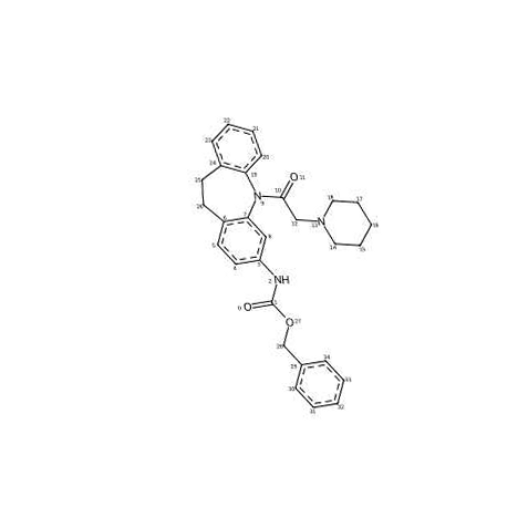 O=C(Nc1ccc2c(c1)N(C(=O)CN1CCCCC1)c1ccccc1CC2)OCc1ccccc1